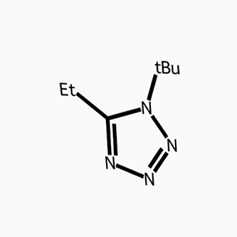 CCc1nnnn1C(C)(C)C